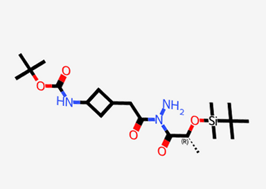 C[C@@H](O[Si](C)(C)C(C)(C)C)C(=O)N(N)C(=O)CC1CC(NC(=O)OC(C)(C)C)C1